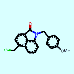 COc1ccc(CN2C(=O)c3ccc(CCl)c4cccc2c34)cc1